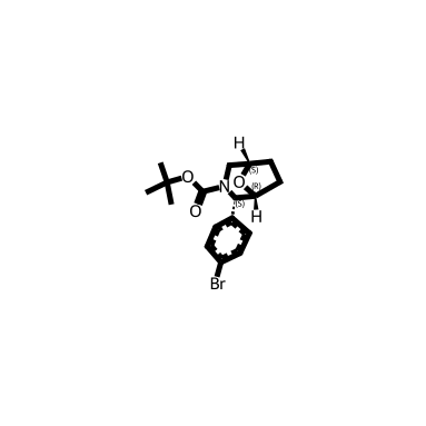 CC(C)(C)OC(=O)N1C[C@@H]2CC[C@@H](O2)[C@@H]1c1ccc(Br)cc1